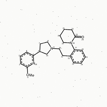 COc1cccc(C2CCN(CCc3ccccc3N3CCCCC3=O)C2)n1